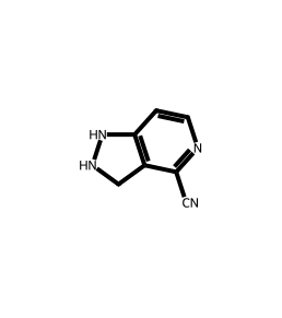 N#Cc1nccc2c1CNN2